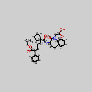 CCOC(=O)C(CCCC1(C(=O)N[C@@H]2CCc3ccccc3N(CC(=O)O)C2=O)CCCC1)c1ccccc1